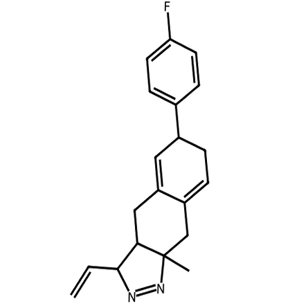 C=CC1N=NC2(C)CC3=CCC(c4ccc(F)cc4)C=C3CC12